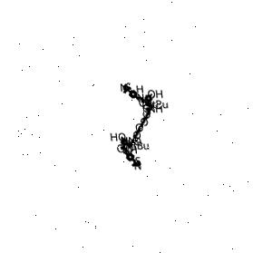 Cc1ncsc1-c1ccc(CNC(=O)[C@@H]2C[C@@H](O)CN2C(=O)[C@@H](NC(=O)COCCOCCOCCOCC(=O)N[C@H](C(=O)N2C[C@H](O)C[C@H]2C(=O)NCc2ccc(-c3scnc3C)cc2)C(C)(C)C)C(C)(C)C)cc1